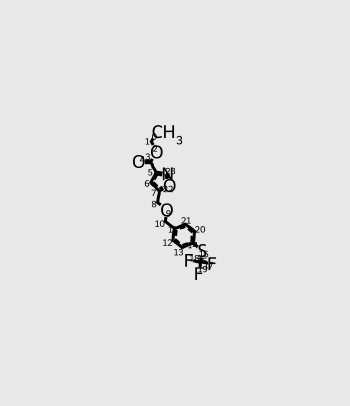 CCOC(=O)c1cc(COCc2ccc(SC(F)(F)F)cc2)on1